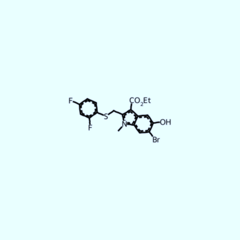 CCOC(=O)c1c(CSc2ccc(F)cc2F)n(C)c2cc(Br)c(O)cc12